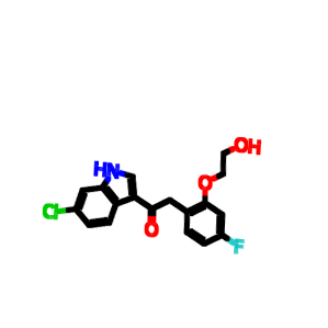 O=C(Cc1ccc(F)cc1OCCO)c1c[nH]c2cc(Cl)ccc12